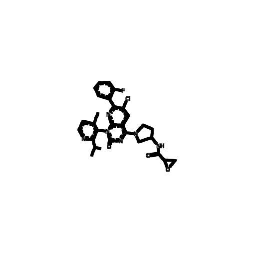 Cc1ccnc(C(C)C)c1-n1c(=O)nc(N2CCC(NC(=O)C3CO3)C2)c2cc(Cl)c(-c3ccccc3F)nc21